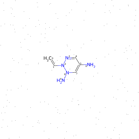 C=CN1N=CC(N)=CN1N